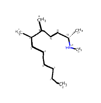 CCCCCCC(C)C(C)CC[C@H](C)NC